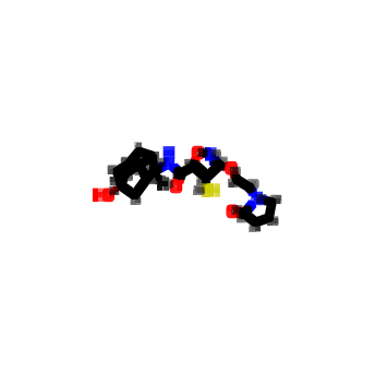 O=C(N[C@H]1C2CC3CC1C[C@](O)(C3)C2)c1onc(OCCN2CCCC2=O)c1S